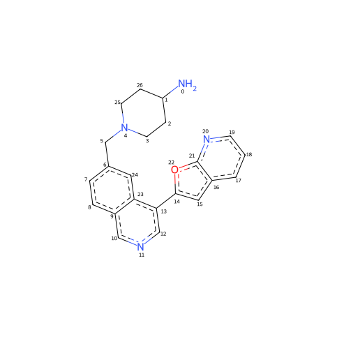 NC1CCN(Cc2ccc3cncc(-c4cc5cccnc5o4)c3c2)CC1